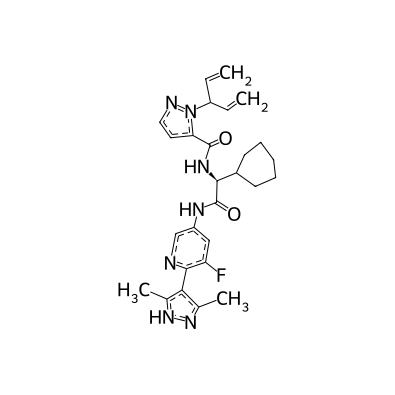 C=CC(C=C)n1nccc1C(=O)N[C@H](C(=O)Nc1cnc(-c2c(C)n[nH]c2C)c(F)c1)C1CCCCC1